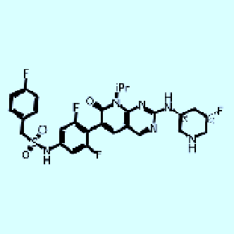 CC(C)n1c(=O)c(-c2c(F)cc(NS(=O)(=O)Cc3ccc(F)cc3)cc2F)cc2cnc(N[C@@H]3CNC[C@@H](F)C3)nc21